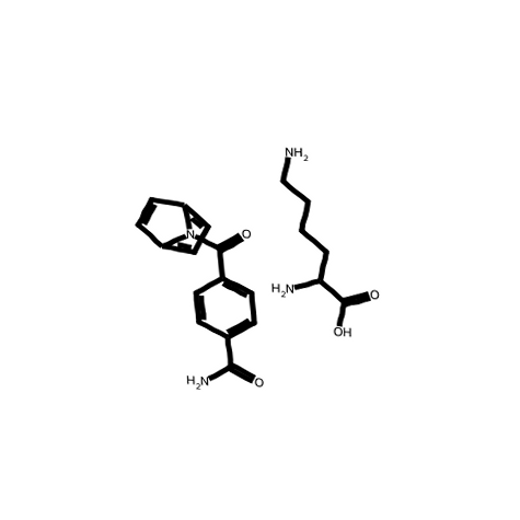 NC(=O)c1ccc(C(=O)n2c3ccc2cc3)cc1.NCCCCC(N)C(=O)O